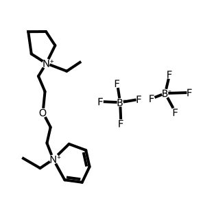 CC[N+]1(CCOCC[N+]2(CC)CCCC2)C=CC=CC1.F[B-](F)(F)F.F[B-](F)(F)F